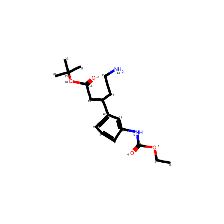 CCOC(=O)Nc1cccc(C(CCN)CC(=O)OC(C)(C)C)c1